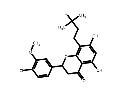 COc1cc(C2CC(=O)c3c(O)cc(O)c(CCC(C)(C)O)c3O2)ccc1Cl